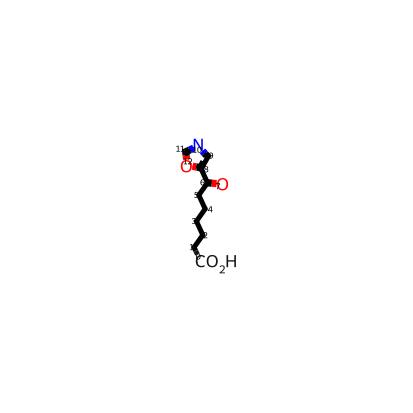 O=C(O)CCCCCC(=O)c1cnco1